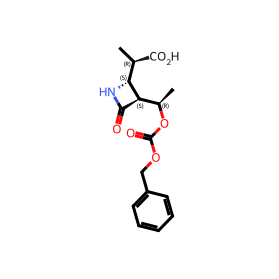 C[C@@H](OC(=O)OCc1ccccc1)[C@H]1C(=O)N[C@@H]1[C@@H](C)C(=O)O